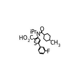 CC1CCC(C(=O)N(c2cc(-c3cccc(F)c3)sc2C(=O)O)C(C)C)CC1